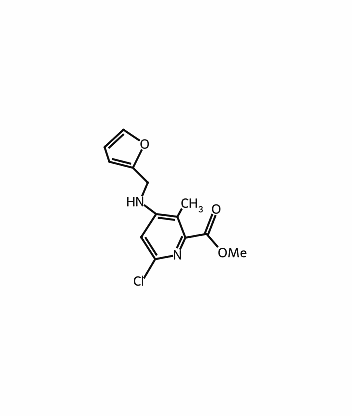 COC(=O)c1nc(Cl)cc(NCc2ccco2)c1C